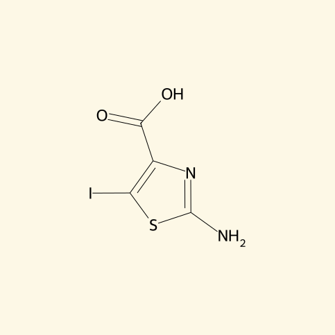 Nc1nc(C(=O)O)c(I)s1